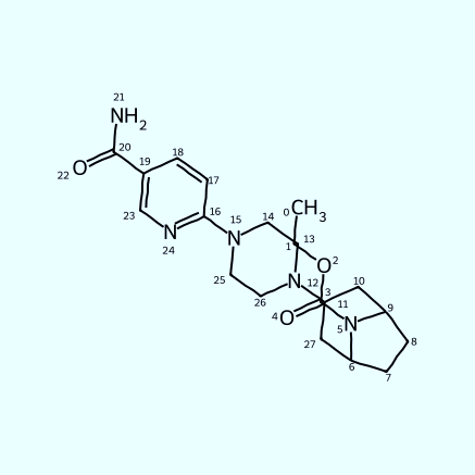 CCOC(=O)N1C2CCC1CC(N1CCN(c3ccc(C(N)=O)cn3)CC1)C2